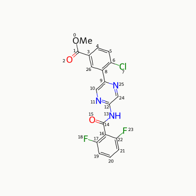 COC(=O)c1ccc(Cl)c(-c2cnc(NC(=O)c3c(F)cccc3F)cn2)c1